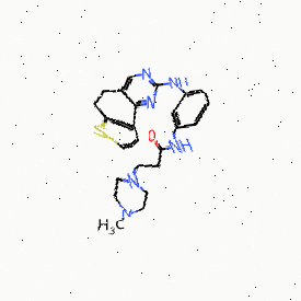 CN1CCN(CCC(=O)Nc2cccc(Nc3ncc4c(n3)-c3ccsc3CC4)c2)CC1